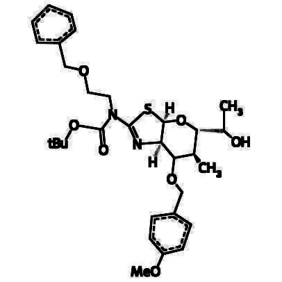 COc1ccc(COC2[C@H]3N=C(N(CCOCc4ccccc4)C(=O)OC(C)(C)C)S[C@H]3O[C@H](C(C)O)[C@H]2C)cc1